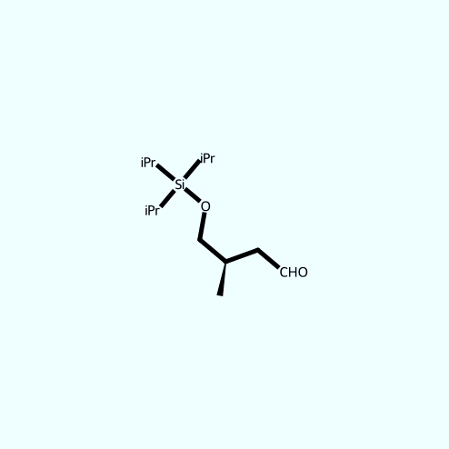 CC(C)[Si](OC[C@H](C)CC=O)(C(C)C)C(C)C